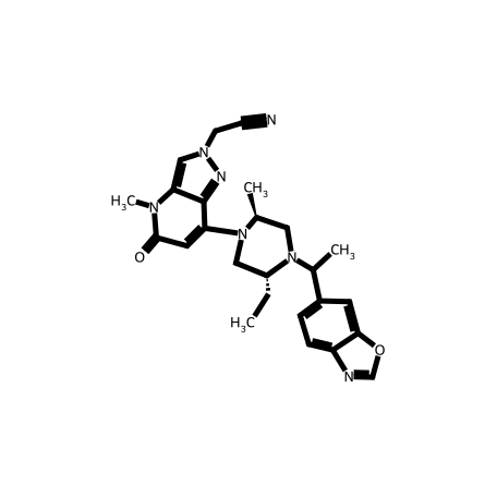 CC[C@@H]1CN(c2cc(=O)n(C)c3cn(CC#N)nc23)[C@@H](C)CN1C(C)c1ccc2ncoc2c1